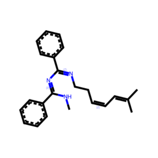 CN/C(=N\C(=N/CC/C=C\C=C(C)C)c1ccccc1)c1ccccc1